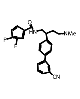 CNCCC(CNC(=O)c1ccc(F)c(F)c1)c1ccc(-c2cccc(C#N)c2)cc1